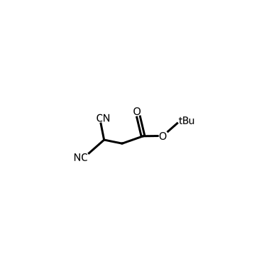 CC(C)(C)OC(=O)CC(C#N)C#N